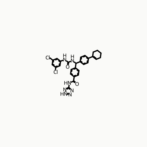 O=C(Nc1cc(Cl)cc(Cl)c1)NC(c1ccc(C(=O)Nc2nn[nH]n2)cc1)c1ccc(C2=CCCCC2)cc1